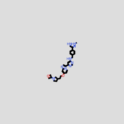 CN/N=C(\C=N)c1ccc(CNc2cc(-c3cnc4cc(OCCC5CCN(C6COC6)C5)ccn34)ncn2)cc1